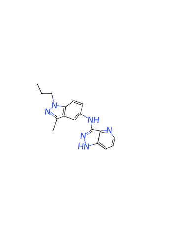 CCCn1nc(C)c2cc(Nc3n[nH]c4cccnc34)ccc21